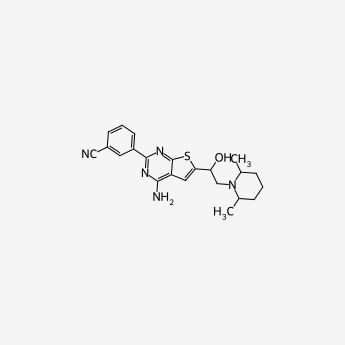 CC1CCCC(C)N1CC(O)c1cc2c(N)nc(-c3cccc(C#N)c3)nc2s1